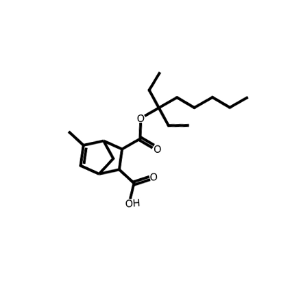 CCCCCC(CC)(CC)OC(=O)C1C2CC(C=C2C)C1C(=O)O